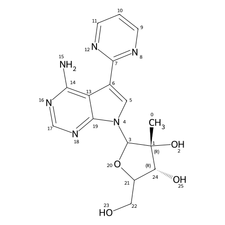 C[C@]1(O)C(n2cc(-c3ncccn3)c3c(N)ncnc32)OC(CO)[C@H]1O